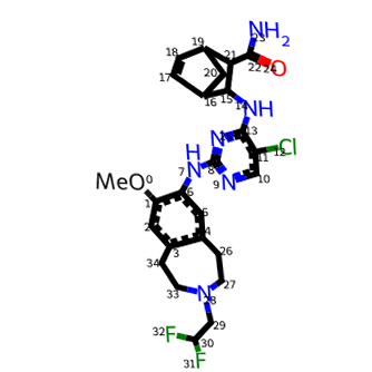 COc1cc2c(cc1Nc1ncc(Cl)c(NC3C4C=CC(C4)C3C(N)=O)n1)CCN(CC(F)F)CC2